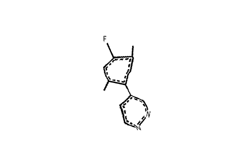 Cc1cc(-c2ccnnc2)c(C)cc1F